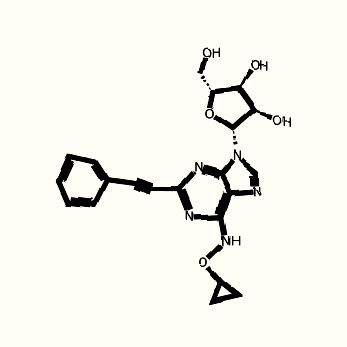 OC[C@H]1O[C@@H](n2cnc3c(NOC4CC4)nc(C#Cc4ccccc4)nc32)[C@H](O)[C@@H]1O